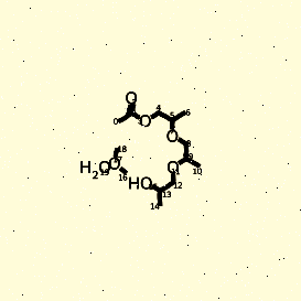 CC(=O)OCC(C)OCC(C)OCC(C)O.COC.O